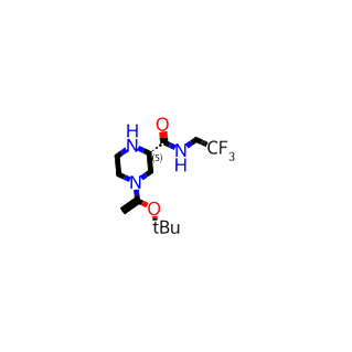 C=C(OC(C)(C)C)N1CCN[C@H](C(=O)NCC(F)(F)F)C1